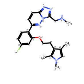 CNCc1nnc2ccc(-c3ccc(F)cc3OCCc3c(C)cn(C)c3C)nn12